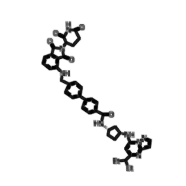 CCC(CC)c1cc(N[C@H]2CC[C@H](NC(=O)c3ccc(-c4ccc(CNc5cccc6c5C(=O)N(C5CCC(=O)NC5=O)C6=O)cc4)cc3)C2)n2nccc2n1